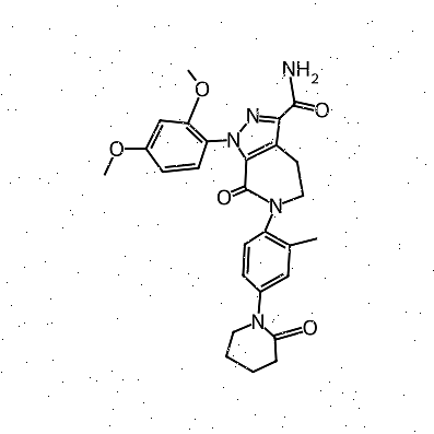 COc1ccc(-n2nc(C(N)=O)c3c2C(=O)N(c2ccc(N4CCCCC4=O)cc2C)CC3)c(OC)c1